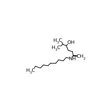 C=C(CCC(O)C(C)C)NCCCCCCCCCC